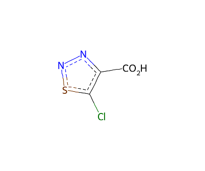 O=C(O)c1nnsc1Cl